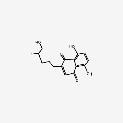 CC(CO)CCCC1=CC(=O)c2c(O)ccc(O)c2C1=O